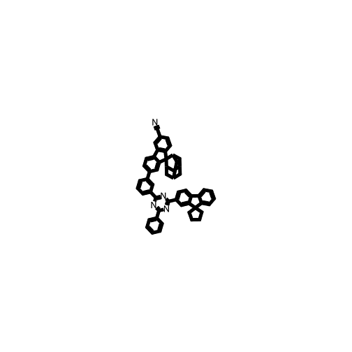 N#Cc1ccc2c(c1)-c1ccc(-c3cccc(-c4nc(-c5ccccc5)nc(-c5ccc6c(c5)C5(CCCC5)c5ccccc5-6)n4)c3)cc1C21C2CC3CC(C2)CC1C3